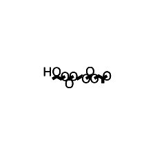 COC(C)COC(=O)OCCOC(=O)OCC(C)O